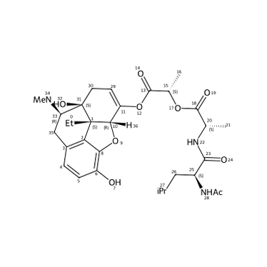 CC[C@]12c3c4ccc(O)c3O[C@H]1C(OC(=O)[C@H](C)OC(=O)[C@H](C)NC(=O)[C@H](CC(C)C)NC(C)=O)=CC[C@@]2(O)[C@H](NC)C4